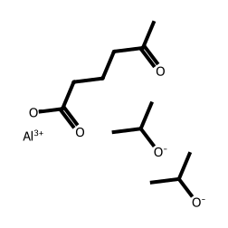 CC(=O)CCCC(=O)[O-].CC(C)[O-].CC(C)[O-].[Al+3]